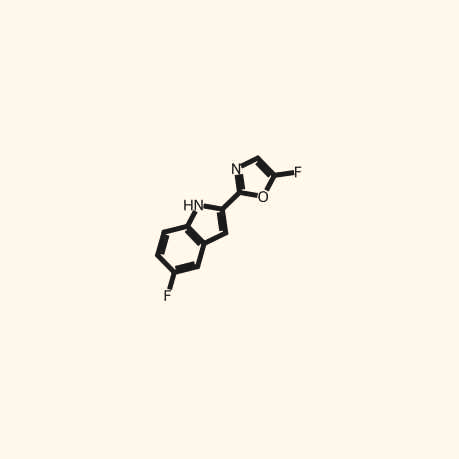 Fc1ccc2[nH]c(-c3ncc(F)o3)cc2c1